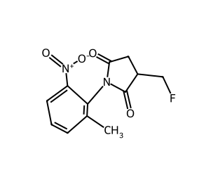 Cc1cccc([N+](=O)[O-])c1N1C(=O)CC(CF)C1=O